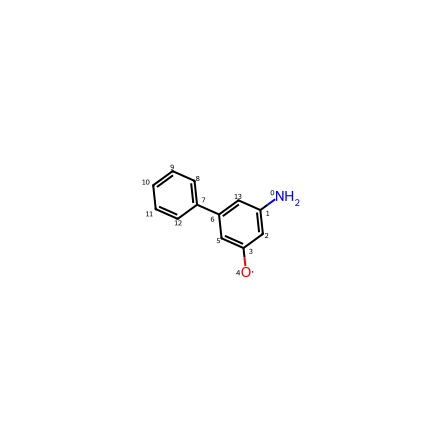 Nc1cc([O])cc(-c2ccccc2)c1